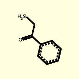 O=C(C[SiH3])c1ccccc1